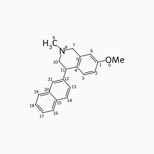 COc1ccc2c(c1)CN(C)CC2c1ccc2ccccc2c1